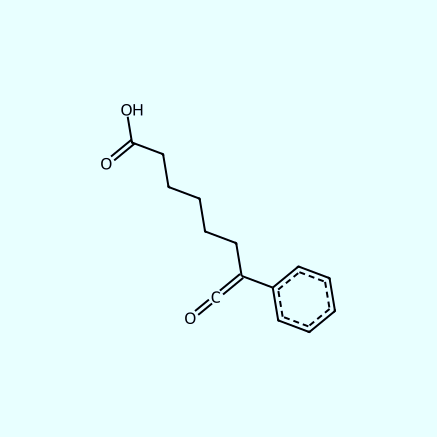 O=C=C(CCCCCC(=O)O)c1ccccc1